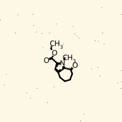 CCOC(=O)c1cc2c(n1C)C(=O)CCCC2